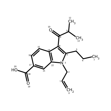 C=CCn1c(CCC)c(C(=O)C(C)C)c2ccc(C(=O)O)cc21